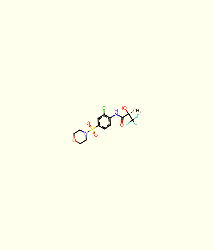 C[C@@](O)(C(=O)Nc1ccc(S(=O)(=O)N2CCOCC2)cc1Cl)C(F)(F)F